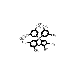 CC1=[C]([Ti+3])C(C)C=C1[Si](c1cc(C)cc(C)c1)(c1cc(C)cc(C)c1)c1cc(C)cc(C)c1.[Cl-].[Cl-].[Cl-]